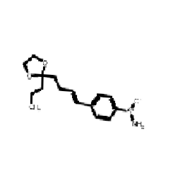 CCCC1(CCC=Cc2ccc([S+](N)[O-])cc2)OCCO1